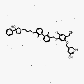 Cc1c(COc2cc(OCC3=CC(C#N)=CNC3)c(CO)cc2Cl)cccc1-c1cccc(OCCCN2CCC(O)(c3ccccc3)C2)c1C